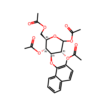 CC(=O)OC[C@H]1OC(OC(C)=O)[C@H](OC(C)=O)[C@@H](Oc2c(C)ccc3ccccc23)[C@@H]1OC(C)=O